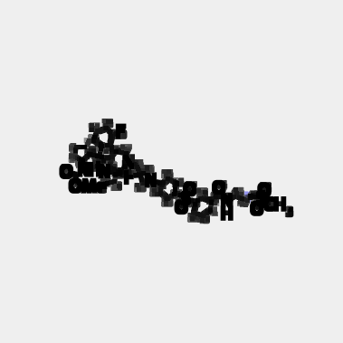 COC(=O)N[C@H]1CCC[C@@H]1[C@](CN1CCC1)(c1cccc(F)c1)C1CCN(CC2(F)CN(c3ccc(S(=O)(=O)c4cccc(C(=O)NC/C=C/S(C)(=O)=O)c4)cc3)C2)CC1